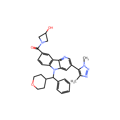 Cc1nnn(C)c1-c1cnc2c3cc(C(=O)N4CC(O)C4)ccc3n(C(c3ccccc3)C3CCOCC3)c2c1